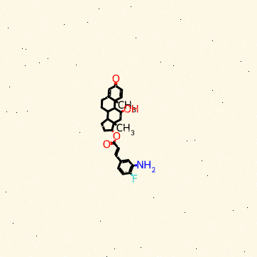 CC12C=CC(=O)C=C1CCC1C2C(O)CC2(C)C(OC(=O)/C=C/c3ccc(F)c(N)c3)CCC12